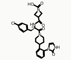 O=C(N[C@H](Cc1ccc(Cl)cc1)C(=O)N1CCC(c2ccccc2-n2cc[nH]c2=O)CC1)C1CN(C(=O)O)C1